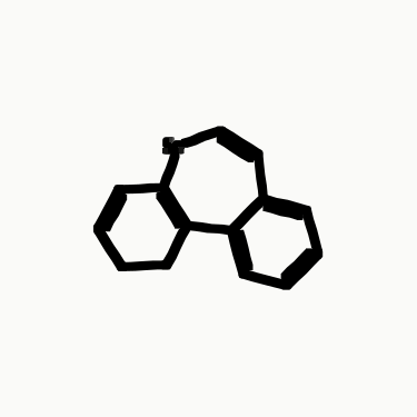 C1=CC2=C(CC1)c1ccccc1C=C[Se]2